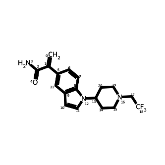 C=C(C(N)=O)c1ccc2c(ccn2C2CCN(CC(F)(F)F)CC2)c1